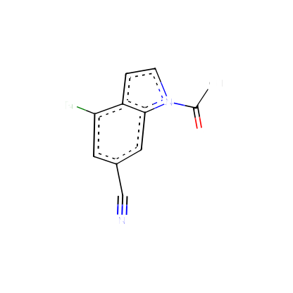 CC(=O)n1ccc2c(Br)cc(C#N)cc21